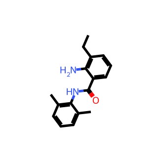 CCc1cccc(C(=O)Nc2c(C)cccc2C)c1N